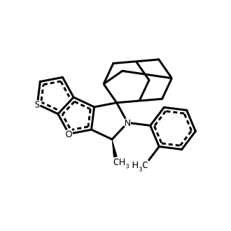 Cc1ccccc1N1[C@@H](C)c2oc3sccc3c2C12C1CC3CC(C1)CC2C3